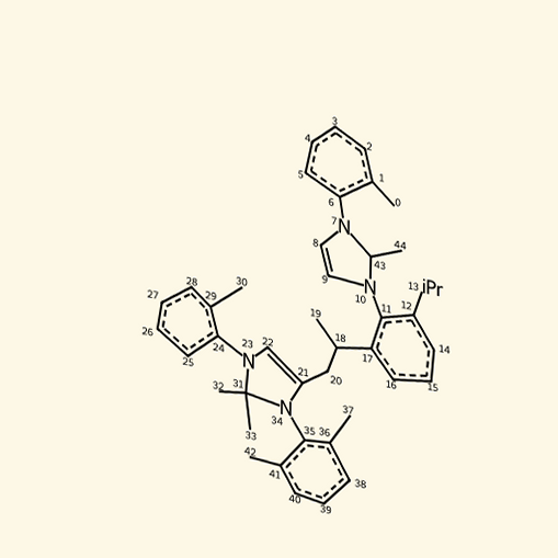 Cc1ccccc1N1C=CN(c2c(C(C)C)cccc2C(C)CC2=CN(c3ccccc3C)C(C)(C)N2c2c(C)cccc2C)C1C